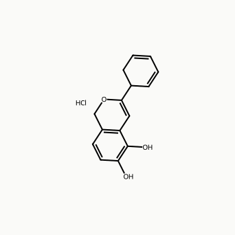 Cl.Oc1ccc2c(c1O)C=C(C1C=CC=CC1)OC2